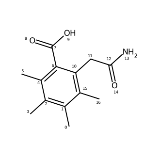 Cc1c(C)c(C)c(C(=O)O)c(CC(N)=O)c1C